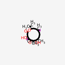 C=C(C)[C@@H]1CCC(C)(I)CCC[C@H](C)[C@H](O)[C@@H](C)C(=O)[C@@](C)(I)[C@@H](O)CC(=O)O1